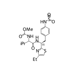 CCc1csc([C@H](Cc2ccc(N[SH](=O)=O)cc2)NC(=O)C(NC(=O)OC)C(C)C)n1